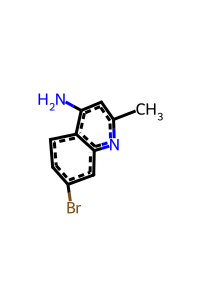 Cc1cc(N)c2ccc(Br)cc2n1